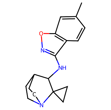 Cc1ccc2c(NC3C4CCN(CC4)C34CC4)noc2c1